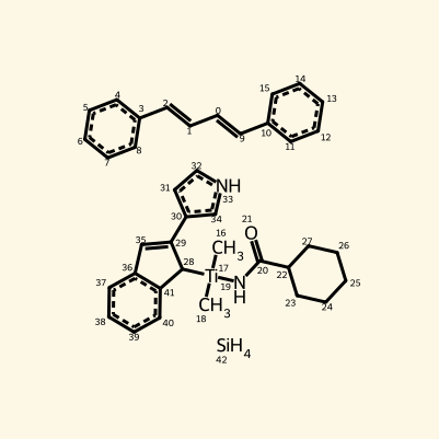 C(C=Cc1ccccc1)=Cc1ccccc1.[CH3][Ti]([CH3])([NH]C(=O)C1CCCCC1)[CH]1C(c2cc[nH]c2)=Cc2ccccc21.[SiH4]